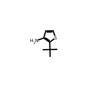 CC(C)(C)c1sccc1N